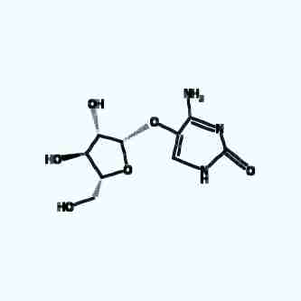 Nc1nc(=O)[nH]cc1O[C@@H]1O[C@H](CO)[C@@H](O)[C@@H]1O